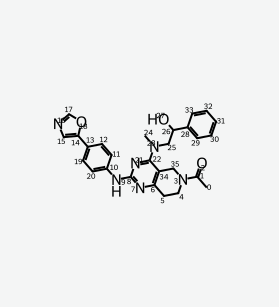 CC(=O)N1CCc2nc(Nc3ccc(-c4cnco4)cc3)nc(N(C)CC(O)c3ccccc3)c2C1